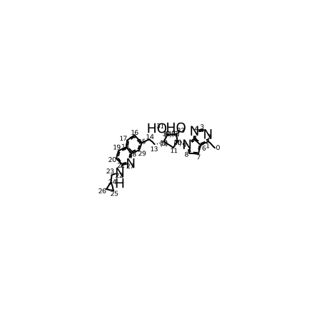 Cc1ncnc2c1ccn2[C@@H]1C[C@H](CCc2ccc3ccc(NCC4CC4)nc3c2)[C@@H](O)[C@H]1O